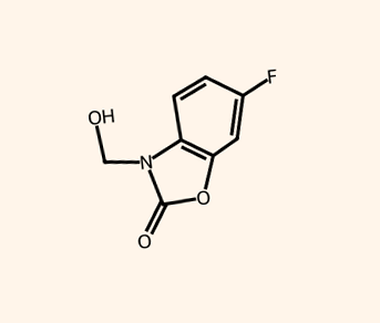 O=c1oc2cc(F)ccc2n1CO